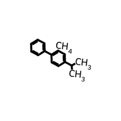 C.CC(C)c1ccc(-c2ccccc2)cc1